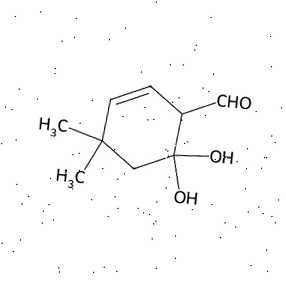 CC1(C)C=CC(C=O)C(O)(O)C1